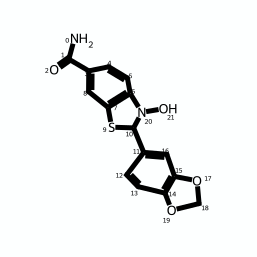 NC(=O)c1ccc2c(c1)SC(c1ccc3c(c1)OCO3)N2O